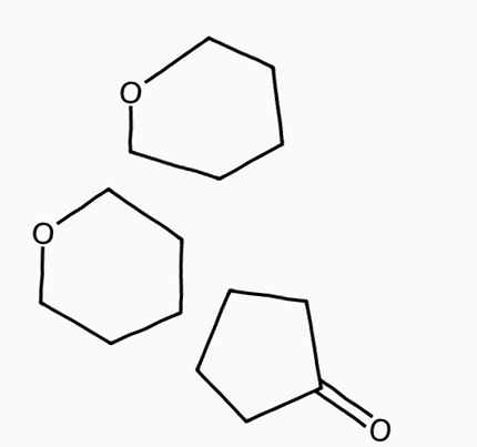 C1CCOCC1.C1CCOCC1.O=C1CCCC1